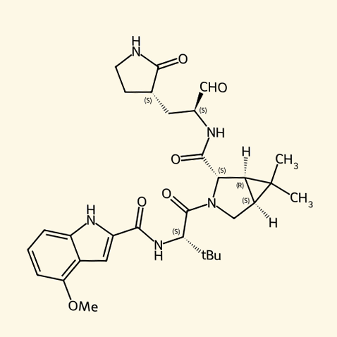 COc1cccc2[nH]c(C(=O)N[C@H](C(=O)N3C[C@H]4[C@@H]([C@H]3C(=O)N[C@H](C=O)C[C@@H]3CCNC3=O)C4(C)C)C(C)(C)C)cc12